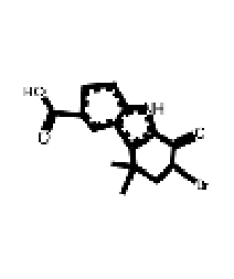 CC1(C)CC(Br)C(=O)c2[nH]c3ccc(C(=O)O)cc3c21